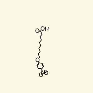 O=C(O)CCCCCCCCCOc1ccc([N+](=O)[O-])cc1